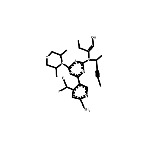 CC#CC(C)N(/C(=C/O)CC)c1nc(-c2cnc(N)cc2C(F)F)nc(N2C(C)COCC2C)n1